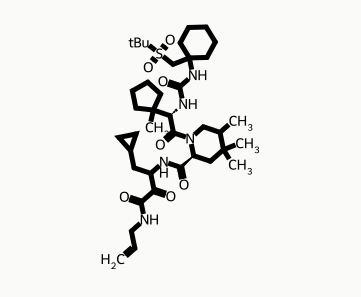 C=CCNC(=O)C(=O)C(CC1CC1)NC(=O)[C@@H]1CC(C)(C)C(C)CN1C(=O)[C@@H](NC(=O)NC1(CS(=O)(=O)C(C)(C)C)CCCCC1)C1(C)CCCC1